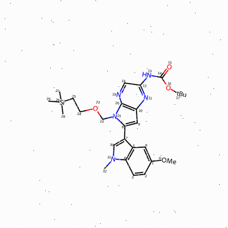 COc1ccc2c(c1)c(-c1cc3nc(NC(=O)OC(C)(C)C)cnc3n1COCC[Si](C)(C)C)cn2C